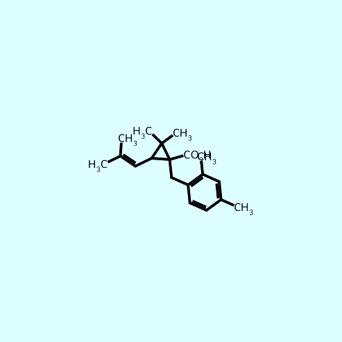 CC(C)=CC1C(C)(C)C1(Cc1ccc(C)cc1C)C(=O)O